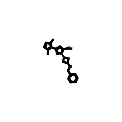 Cc1ccc(C)n1-c1cc(C(C)(C)C)n([C@H]2C[C@H](OCc3ccccc3)C2)n1